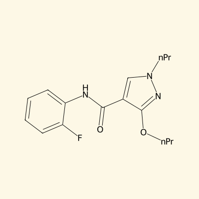 CCCOc1nn(CCC)cc1C(=O)Nc1ccccc1F